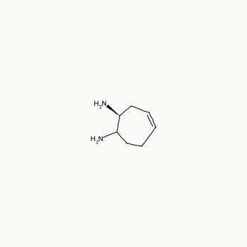 NC1CCC=CC[C@@H]1N